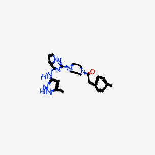 Cc1ccc(CC(=O)N2CCN(c3nc(Nc4cc(C)[nH]n4)c4cccn4n3)CC2)cc1